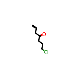 [CH]=CCC(=O)CCCCl